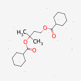 CC(C)(CCOC(=O)C1CCCCC1)OC(=O)C1CCCCC1